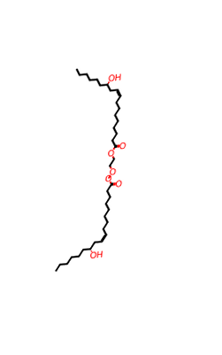 CCCCCC[C@@H](O)C/C=C\CCCCCCCC(=O)OCCOOC(=O)CCCCCCC/C=C\C[C@H](O)CCCCCC